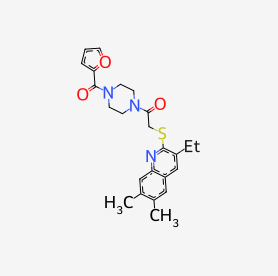 CCc1cc2cc(C)c(C)cc2nc1SCC(=O)N1CCN(C(=O)c2ccco2)CC1